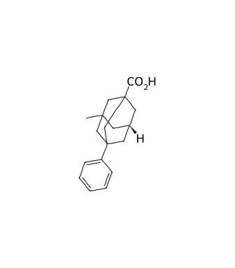 CC12C[C@@H]3CC(C(=O)O)(C1)CC(c1ccccc1)(C3)C2